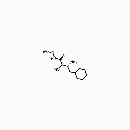 CC(C)(C)ONC(=O)C(O)[C@H](N)CC1CCCCC1